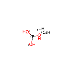 OB(O)O.[CsH].[LiH]